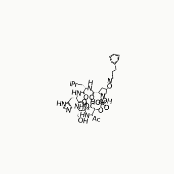 CC(=O)[C@@H](NC(=O)[C@H](CO)NC(=O)[C@H](Cc1cnc[nH]1)NC(=O)[C@H](CC(C)C)NC(=O)[C@@H]1CC(O/N=C/CCc2ccccc2)CN1C(C)=O)[C@@H](C)OP(=O)(O)O